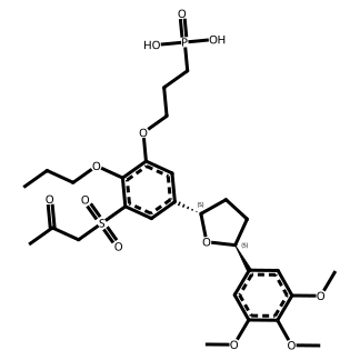 CCCOc1c(OCCCP(=O)(O)O)cc([C@@H]2CC[C@@H](c3cc(OC)c(OC)c(OC)c3)O2)cc1S(=O)(=O)CC(C)=O